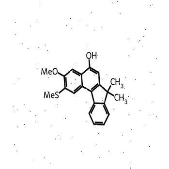 COc1cc2c(O)cc3c(c2cc1SC)-c1ccccc1C3(C)C